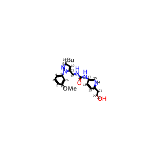 COc1cccc(-n2nc(C(C)(C)C)cc2CNC(=O)Nc2ccc(CCO)nc2)c1